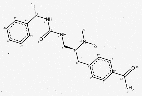 C[C@H](NC(=O)NC[C@H](Cc1ccc(C(N)=O)cc1)N(C)C)c1ccccc1